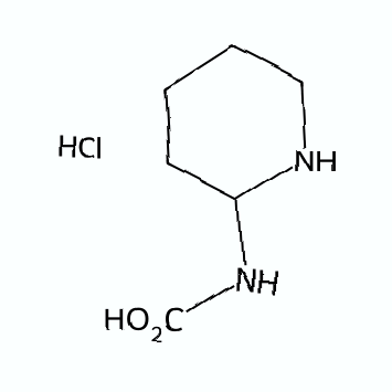 Cl.O=C(O)NC1CCCCN1